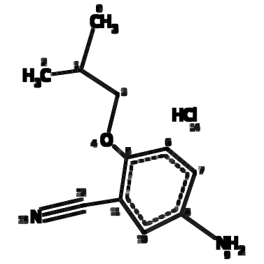 CC(C)COc1ccc(N)cc1C#N.Cl